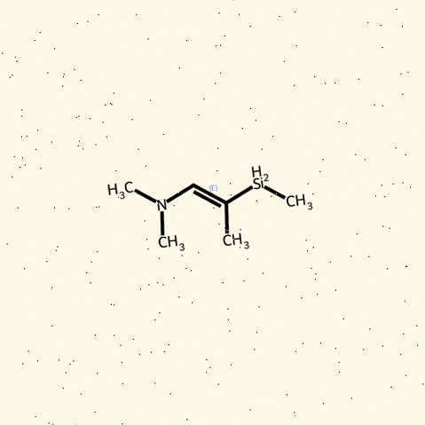 C[SiH2]/C(C)=C/N(C)C